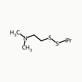 CC(C)SSCCN(C)C